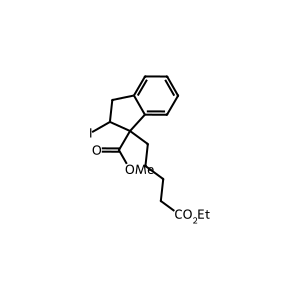 CCOC(=O)CCCCC1(C(=O)OC)c2ccccc2CC1I